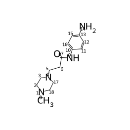 CN1CCN(CCC(=O)Nc2ccc(N)cc2)CC1